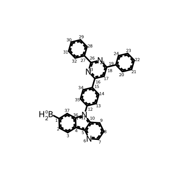 Bc1ccc2c3ncccc3n(-c3ccc(-c4cc(-c5ccccc5)nc(-c5ccccc5)n4)cc3)c2c1